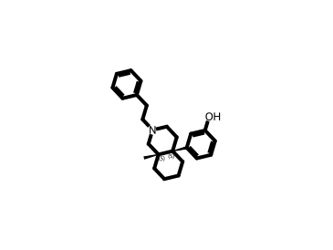 C[C@]12CCCC[C@@]1(c1cccc(O)c1)CCN(CCc1ccccc1)C2